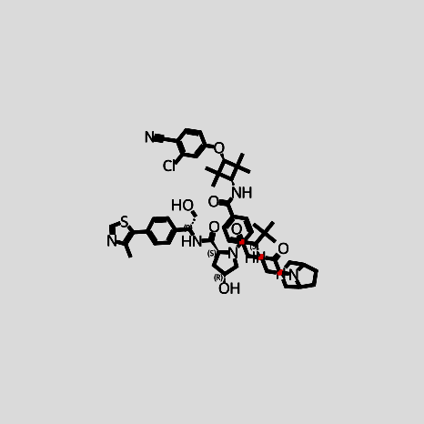 Cc1ncsc1-c1ccc([C@H](CO)NC(=O)[C@@H]2C[C@@H](O)CN2C(=O)[C@@H](NC(=O)CN2C3CCC2CN(CCCc2ccc(C(=O)N[C@H]4C(C)(C)[C@H](Oc5ccc(C#N)c(Cl)c5)C4(C)C)cc2)C3)C(C)(C)C)cc1